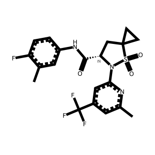 Cc1cc(C(F)(F)F)cc(N2[C@H](C(=O)Nc3ccc(F)c(C)c3)CC3(CC3)S2(=O)=O)n1